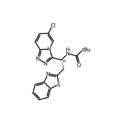 CC(C)(C)C(=O)N[C@H](Cc1nc2ccccc2s1)c1nnc2ccc(Cl)cn12